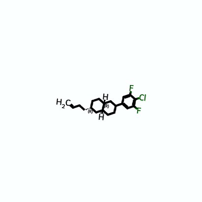 C=CCC[C@@H]1CC[C@@H]2CC(c3cc(F)c(Cl)c(F)c3)CC[C@@H]2C1